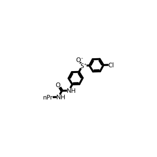 CCCNC(=O)Nc1ccc([S+]([O-])c2ccc(Cl)cc2)cc1